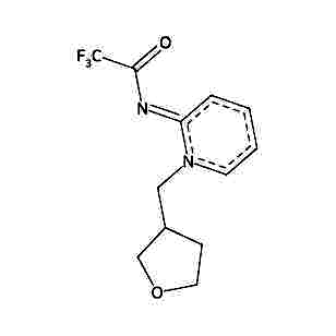 O=C(/N=c1\ccccn1CC1CCOC1)C(F)(F)F